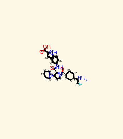 N[C@H](CF)[C@H]1CC[C@H](C(=O)N2CC[C@@H](N3CCCCC3)[C@H]2C(=O)Nc2ccc3[nH]c(C(=O)O)cc3c2)CC1